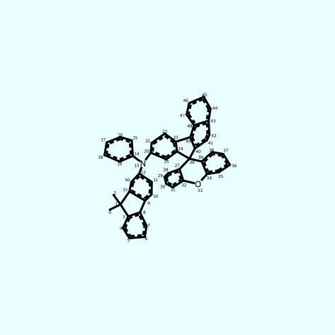 CC1(C)c2ccccc2-c2ccc(N(c3ccccc3)c3ccc4c(c3)C3(c5ccccc5Oc5ccccc53)c3ccc5ccccc5c3-4)cc21